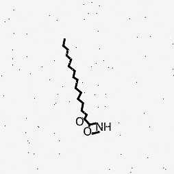 CCCCCCCCCCCCCCCC(=O)C1CNCCO1